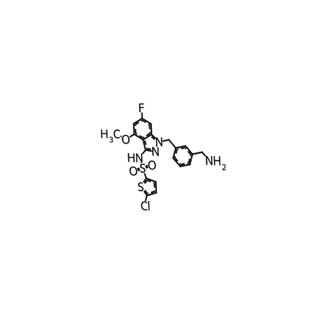 COc1cc(F)cc2c1c(NS(=O)(=O)c1ccc(Cl)s1)nn2Cc1cccc(CN)c1